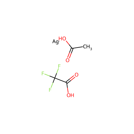 CC(=O)O.O=C(O)C(F)(F)F.[Ag]